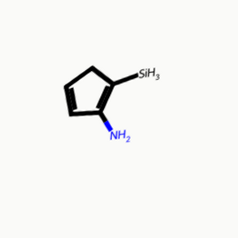 NC1=C([SiH3])CC=C1